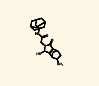 NC1CC2OC1C1C2C(=O)N(CC(=O)NC23CC4CC(CC(C4)C2)C3)C1O